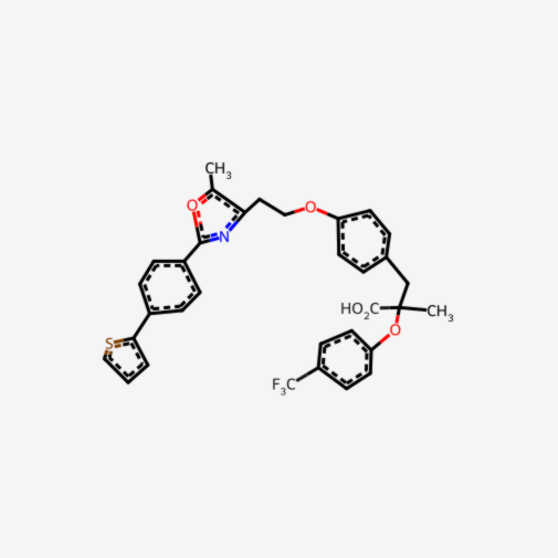 Cc1oc(-c2ccc(-c3cccs3)cc2)nc1CCOc1ccc(CC(C)(Oc2ccc(C(F)(F)F)cc2)C(=O)O)cc1